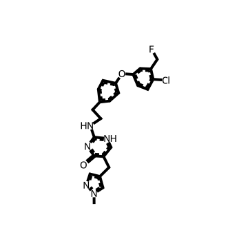 Cn1cc(Cc2c[nH]c(NCCc3ccc(Oc4ccc(Cl)c(CF)c4)cc3)nc2=O)cn1